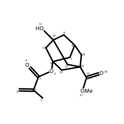 C=C(C)C(=O)OC12CC3CC(O)(C1)CC(C(=O)OC)(C3)C2